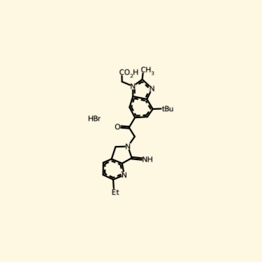 Br.CCc1ccc2c(n1)C(=N)N(CC(=O)c1cc(C(C)(C)C)c3nc(C)n(CC(=O)O)c3c1)C2